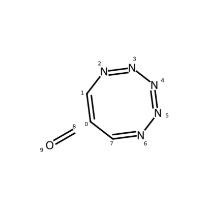 C1=CN=NN=NN=C1.C=O